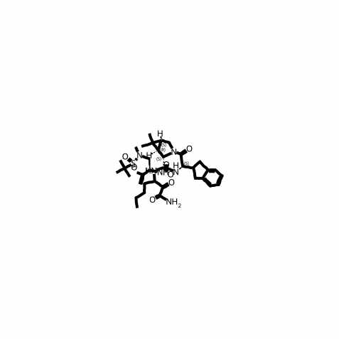 C=C(C)[C@@H](CN(C)S(=O)(=O)C(C)(C)C)NC(=O)N[C@H](C(=O)N1C[C@H]2[C@@H]([C@H]1C(=O)NC(CCCC)C(=O)C(N)=O)C2(C)C)C1Cc2ccccc2C1